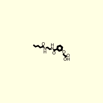 CCCCC(=O)NCCNC(=O)c1cccc(OCC(=O)O)c1